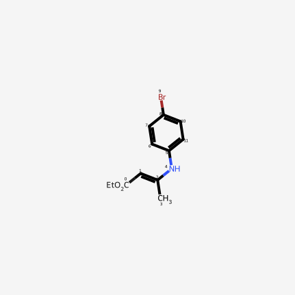 CCOC(=O)C=C(C)Nc1ccc(Br)cc1